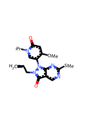 C=CCn1c(=O)c2cnc(SC)nc2n1-c1cn(C(C)C)c(=O)cc1OC